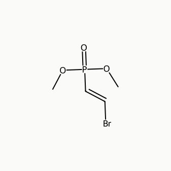 COP(=O)(C=CBr)OC